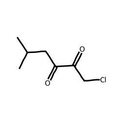 CC(C)CC(=O)C(=O)CCl